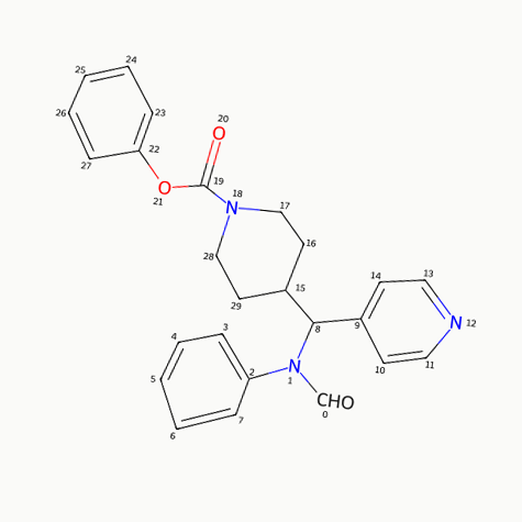 O=CN(c1ccccc1)C(c1ccncc1)C1CCN(C(=O)Oc2ccccc2)CC1